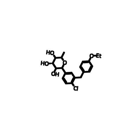 CCOc1ccc(Cc2cc(C3OC(C)C(O)[C@H](O)C3O)ccc2Cl)cc1